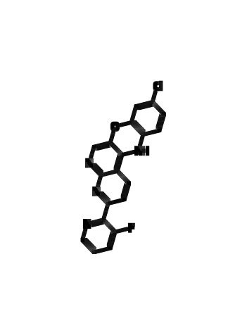 Fc1cccnc1-c1ccc2c3c(cnc2n1)Oc1cc(Cl)ccc1N3